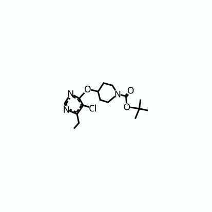 CCc1ncnc(OC2CCN(C(=O)OC(C)(C)C)CC2)c1Cl